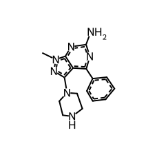 Cn1nc(N2CCNCC2)c2c(-c3ccccc3)nc(N)nc21